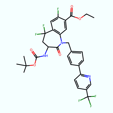 CCOC(=O)c1cc2c(cc1F)C(F)(F)CC(NC(=O)OC(C)(C)C)C(=O)N2Cc1ccc(-c2ccc(C(F)(F)F)cn2)cc1